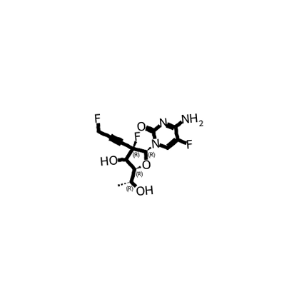 C[C@@H](O)[C@H]1O[C@@H](n2cc(F)c(N)nc2=O)[C@@](F)(C#CCF)C1O